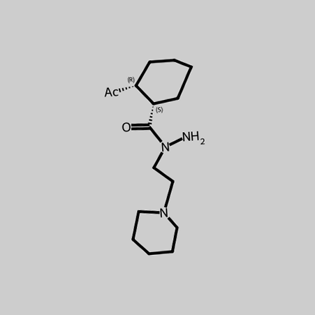 CC(=O)[C@@H]1CCCC[C@@H]1C(=O)N(N)CCN1CCCCC1